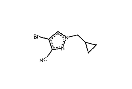 N#Cc1nn(CC2CC2)cc1Br